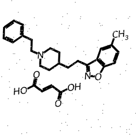 Cc1ccc2onc(CCC3CCN(CCc4ccccc4)CC3)c2c1.O=C(O)C=CC(=O)O